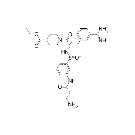 CCOC(=O)C1CCN(C(=O)[C@H](Cc2cccc(C(=N)N)c2)N[S+]([O-])c2cccc(NC(=O)CCN)c2)CC1